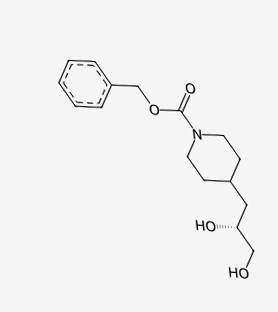 O=C(OCc1ccccc1)N1CCC(C[C@@H](O)CO)CC1